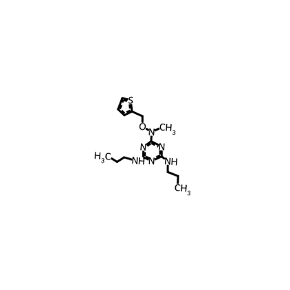 CCCNc1nc(NCCC)nc(N(C)OCc2cccs2)n1